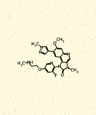 CNCCOc1cnc(-n2c(=O)n(C)c3cnc4cc(OC)c(-c5cnn(C)c5)cc4c32)c(F)c1